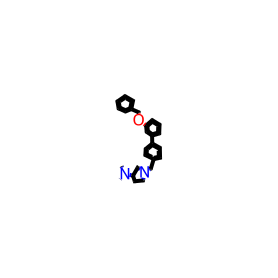 CN(C)C1CCN(Cc2ccc(-c3cccc(OCc4ccccc4)c3)cc2)C1